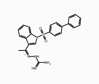 C/C(=N/NC(=N)N)c1cn(S(=O)(=O)c2ccc(-c3ccccc3)cc2)c2ccccc12